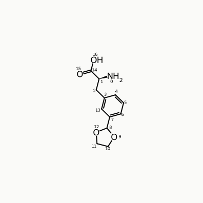 N[C@@H](Cc1cccc(C2OCCO2)c1)C(=O)O